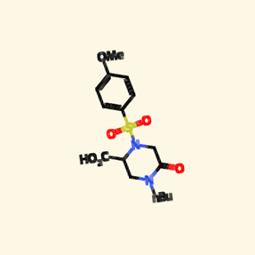 CCCCN1CC(C(=O)O)N(S(=O)(=O)c2ccc(OC)cc2)CC1=O